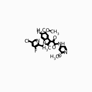 COc1cc(NC(=O)C(=O)c2c(C)n(Cc3ncc(Cl)cc3F)c3c2=CC(C)(OC)C(F)C=3)ccn1